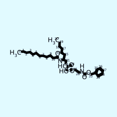 CCCCCCCCCCCC(=O)NC(CCCCCC)COP(=O)(O)OCCNC(=O)OCc1ccccc1